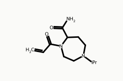 C=CC(=O)N1CCN(C(C)C)CCC1C(N)=O